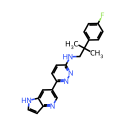 CC(C)(CNc1ccc(-c2cnc3cc[nH]c3c2)nn1)c1ccc(F)cc1